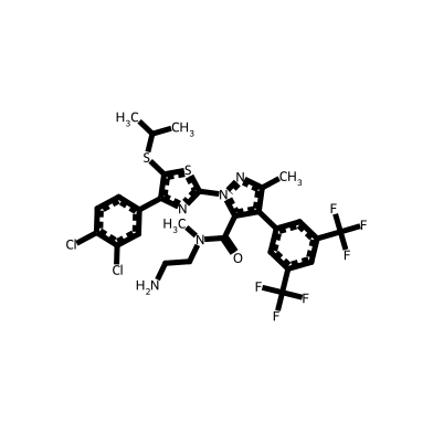 Cc1nn(-c2nc(-c3ccc(Cl)c(Cl)c3)c(SC(C)C)s2)c(C(=O)N(C)CCN)c1-c1cc(C(F)(F)F)cc(C(F)(F)F)c1